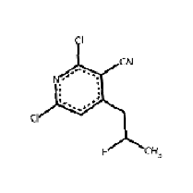 CC(F)Cc1cc(Cl)nc(Cl)c1C#N